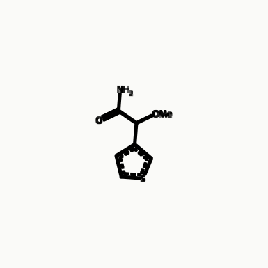 COC(C(N)=O)c1ccsc1